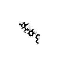 CCCCC(C)Oc1cccc(NC(=O)c2sc(C)nc2C)c1C